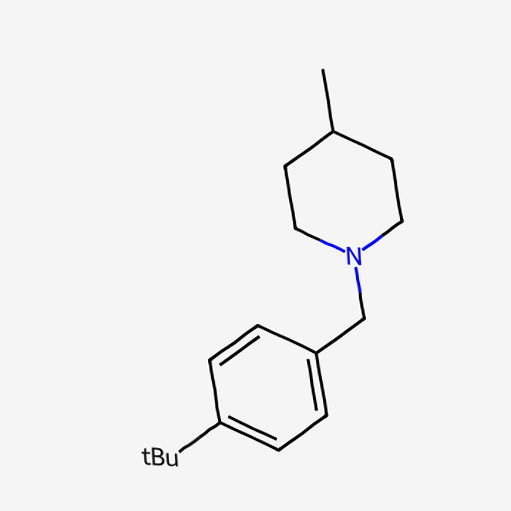 CC1CCN(Cc2ccc(C(C)(C)C)cc2)CC1